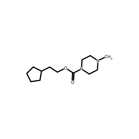 CN1CCN(C(=O)OCCC2CCCC2)CC1